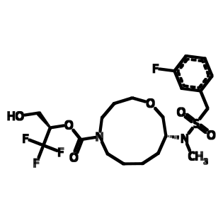 CN([C@@H]1CCCCN(C(=O)O[C@H](CO)C(F)(F)F)CCCOC1)S(=O)(=O)Cc1cccc(F)c1